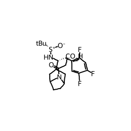 CC(C)(C)[S@+]([O-])N[C@H](Cc1cc(F)c(F)cc1F)C1CC2CCC(C1)N2C(=O)CC(=O)O